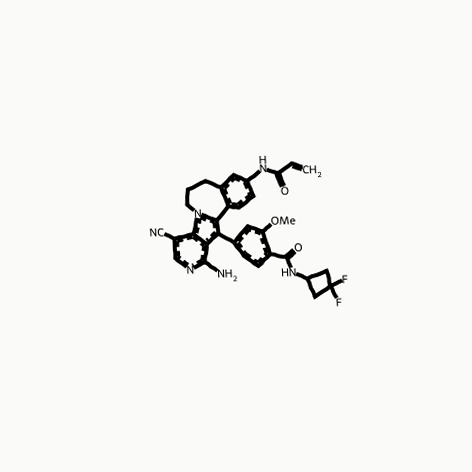 C=CC(=O)Nc1ccc2c(c1)CCCn1c-2c(-c2ccc(C(=O)NC3CC(F)(F)C3)c(OC)c2)c2c(N)ncc(C#N)c21